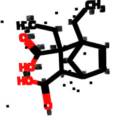 CCC12C=CC(C1)C(C(=O)O)C2(CC)C(=O)O